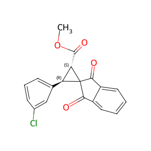 COC(=O)[C@H]1[C@H](c2cccc(Cl)c2)C12C(=O)c1ccccc1C2=O